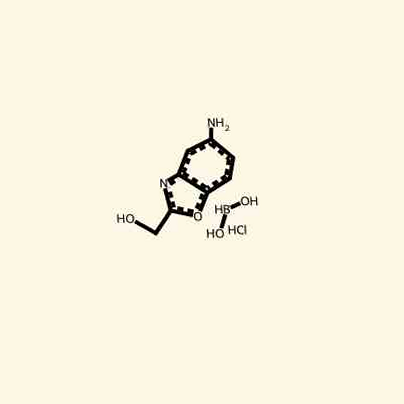 Cl.Nc1ccc2oc(CO)nc2c1.OBO